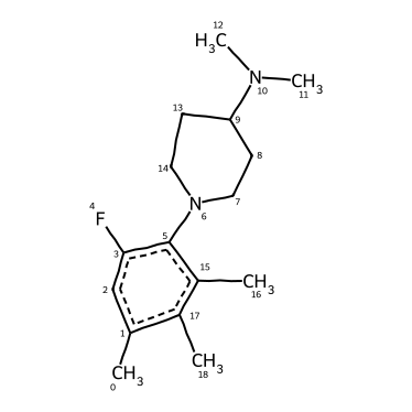 Cc1cc(F)c(N2CCC(N(C)C)CC2)c(C)c1C